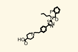 CCCCN(C(=O)c1ccccc1F)c1nnc(-c2ccc(CCN3CCC(C(=O)O)CC3)cc2)s1